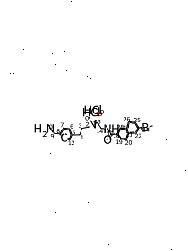 CN(CCCc1ccc(CN)cc1)CCNC(=O)c1ccc2cc(Br)ccc2c1.Cl.Cl